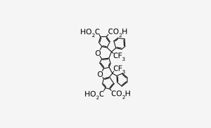 O=C(O)c1cc2c(cc1C(=O)O)C(c1ccccc1)(C(F)(F)F)c1cc3c(cc1O2)Oc1cc(C(=O)O)c(C(=O)O)cc1C3(c1ccccc1)C(F)(F)F